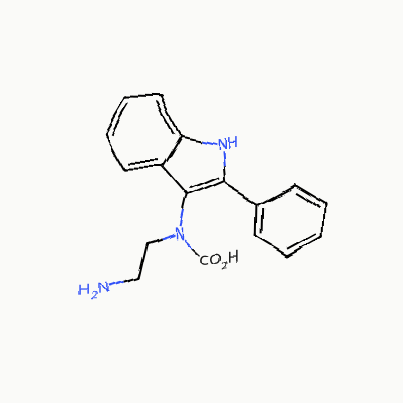 NCCN(C(=O)O)c1c(-c2ccccc2)[nH]c2ccccc12